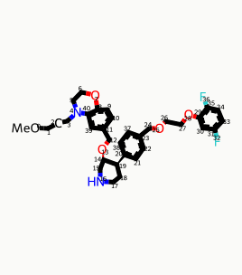 COCCCN1CCOc2ccc(CO[C@H]3CNCC[C@@H]3c3ccc(COCCOc4cc(F)ccc4F)cc3)cc21